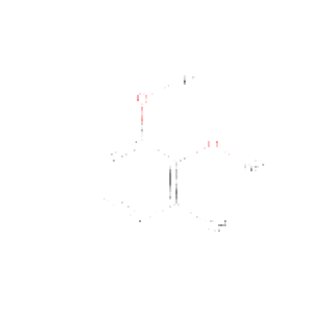 [CH2]c1cccc(OCCC)c1OCCC